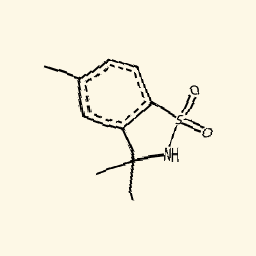 Cc1ccc2c(c1)C(C)(C)NS2(=O)=O